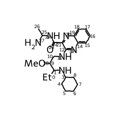 CCC(NC1CCCCC1)C(CNc1nc2ccccc2nc1C(=O)NC(C)N)OC